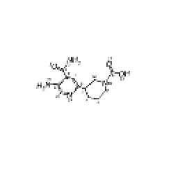 NC(=O)c1cc(C2CCCN(C(=O)O)C2)ncc1N